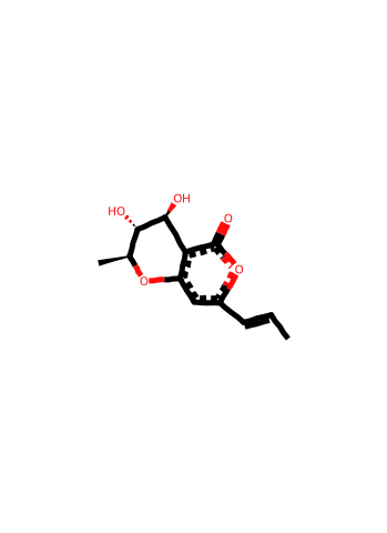 C/C=C/c1cc2c(c(=O)o1)[C@H](O)[C@@H](O)[C@H](C)O2